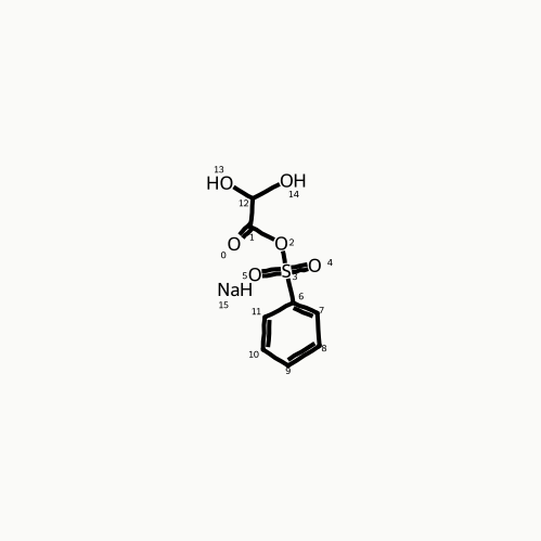 O=C(OS(=O)(=O)c1ccccc1)C(O)O.[NaH]